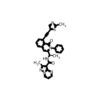 Cc1ncc(C#Cc2cccc3cc([C@@H](C)NC(=O)c4c(C)nn5cccnc45)n(-c4ccccc4)c(=O)c23)s1